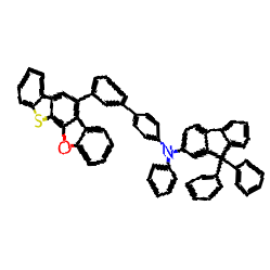 c1ccc(N(c2ccc(-c3cccc(-c4cc5c6ccccc6sc5c5oc6ccccc6c45)c3)cc2)c2ccc3c(c2)C(c2ccccc2)(c2ccccc2)c2ccccc2-3)cc1